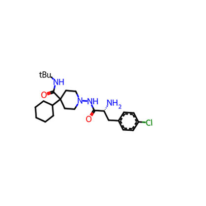 CC(C)(C)NC(=O)C1(C2CCCCC2)CCN(NC(=O)[C@H](N)Cc2ccc(Cl)cc2)CC1